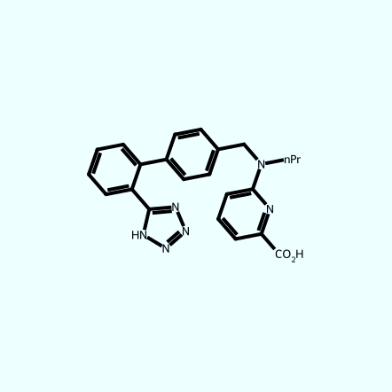 CCCN(Cc1ccc(-c2ccccc2-c2nnn[nH]2)cc1)c1cccc(C(=O)O)n1